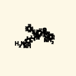 N=C(N)c1ccc(CCc2nc3cc(C(=O)N(CCN)Cc4ccccc4)ccc3n2CCC2CCCCC2)cc1